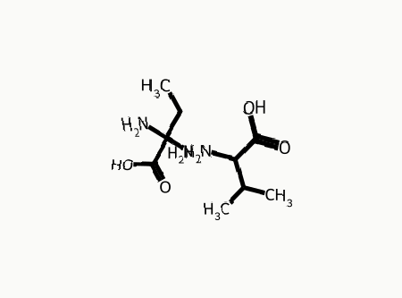 CC(C)C(N)C(=O)O.CCC(N)(N)C(=O)O